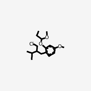 CCC(OC)Oc1cc(OC)ccc1CC(CCl)C(C)C